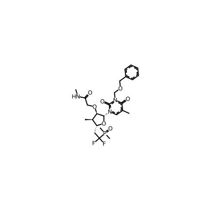 CNC(=O)CO[C@@H]1[C@H](C)[C@@H](CC(F)(F)P(C)(C)=O)O[C@H]1n1cc(C)c(=O)n(COCc2ccccc2)c1=O